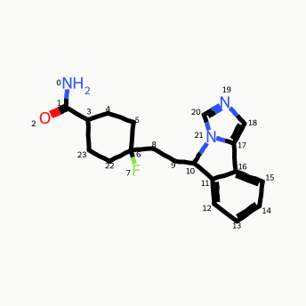 NC(=O)C1CCC(F)(CCC2c3ccccc3-c3cncn32)CC1